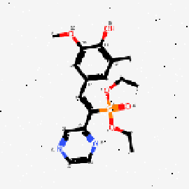 CCOP(=O)(OCC)/C(=C\c1cc(C)c(O)c(OC)c1)c1cnccn1